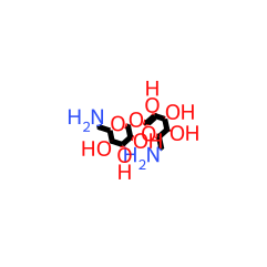 NCC1OC(O[C@H]2OC(CN)[C@@H](O)C(O)C2O)=C(O)C(O)[C@@H]1O